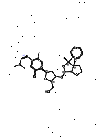 Cc1cn([C@H]2CC(O[P@@]3O[C@](C)(c4ccccc4)[C@@H]4CCCN43)[C@@H](CO)O2)c(=O)nc1/N=C\N(C)C